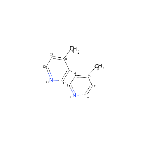 Cc1ccncc1.Cc1ccncc1